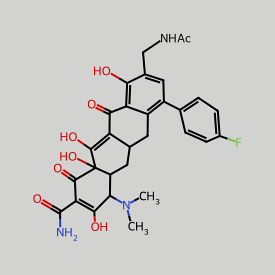 CC(=O)NCc1cc(-c2ccc(F)cc2)c2c(c1O)C(=O)C1=C(O)C3(O)C(=O)C(C(N)=O)=C(O)C(N(C)C)C3CC1C2